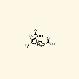 CC(=O)O.CC(=O)O.CCN1C=CN(C)C1